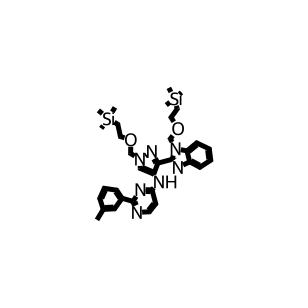 Cc1cccc(-c2nccc(Nc3cn(COCC[Si](C)(C)C)nc3-c3nc4ccccc4n3COCC[Si](C)(C)C)n2)c1